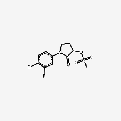 CS(=O)(=O)OC1CCN(c2ccc(Cl)c(F)c2)C1=O